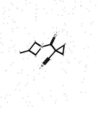 CC1CN(C(=O)C2(C#N)CC2)C1